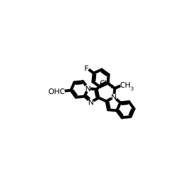 Cc1c(-c2cc3ccccc3n2C(C)c2ccc(F)cc2)nc2cc(C=O)ccn12